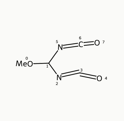 COC(N=C=O)N=C=O